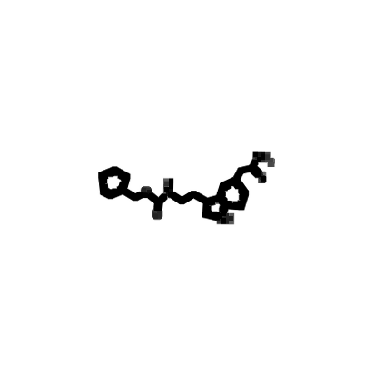 NC(=S)Cc1ccc2[nH]cc(CCNC(=O)OCc3ccccc3)c2c1